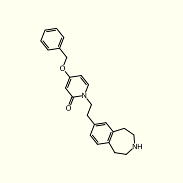 O=c1cc(OCc2ccccc2)ccn1CCc1ccc2c(c1)CCNCC2